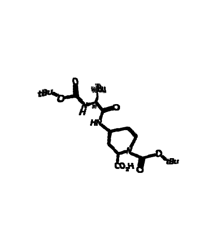 CC[C@H](C)[C@H](NC(=O)OC(C)(C)C)C(=O)NC1CCN(C(=O)OC(C)(C)C)C(C(=O)O)C1